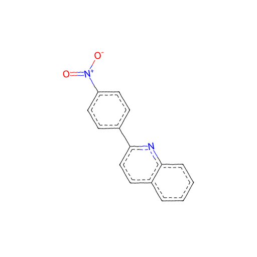 O=[N+]([O-])c1ccc(-c2ccc3ccccc3n2)cc1